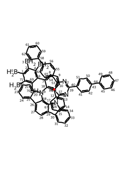 Bc1c(B)c(B)c(-c2cccc(-c3ccccc3)c2-n2c3ccccc3c3ccc4c5ccccc5n(-c5nc(-c6ccc(-c7ccccc7)cc6)nc(-c6ccc(-c7ccccc7)cc6)n5)c4c32)c(B)c1B